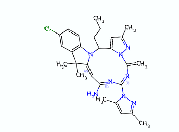 C=C1\N=C(n2nc(C)cc2C)/N=C(N)/C=C2\N(c3ccc(Cl)cc3C2(C)C)C(CCC)c2cc(C)nn21